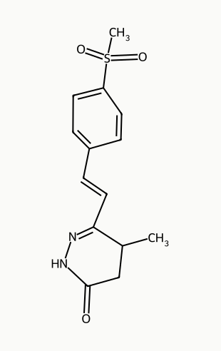 CC1CC(=O)NN=C1C=Cc1ccc(S(C)(=O)=O)cc1